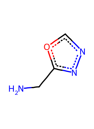 NCc1nnco1